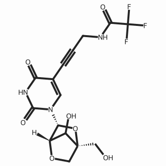 O=C(NCC#Cc1cn([C@@H]2O[C@@]3(CO)CO[C@H]2C3O)c(=O)[nH]c1=O)C(F)(F)F